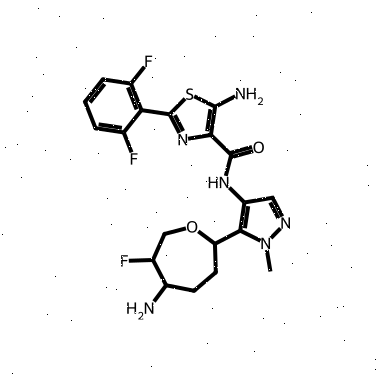 Cn1ncc(NC(=O)c2nc(-c3c(F)cccc3F)sc2N)c1C1CCC(N)C(F)CO1